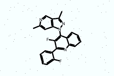 Cc1cc2c(cn1)c(C)nn2-c1c(F)c(-c2ccccc2F)nc2ccccc12